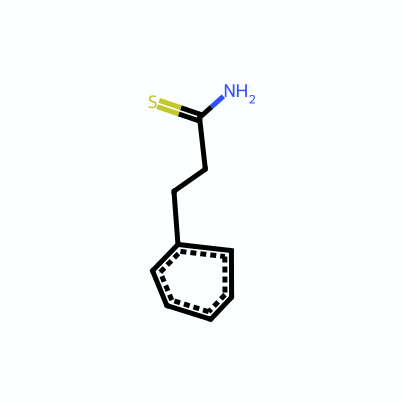 NC(=S)CCc1ccccc1